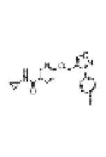 O=C(NC1CC1)c1ccc(OCc2conc2-c2ccc(F)cc2)nc1